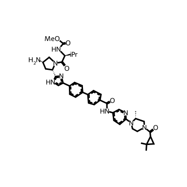 COC(=O)N[C@H](C(=O)N1C[C@@H](N)C[C@H]1c1nc(-c2ccc(-c3ccc(C(=O)Nc4ccc(N5CCN(C(=O)C6CC6(C)C)C[C@H]5C)nc4)cc3)cc2)c[nH]1)C(C)C